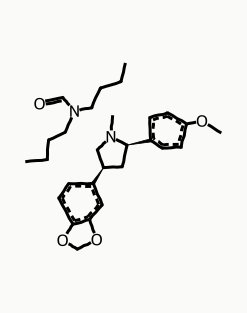 CCCCN(C=O)CCCC.COc1ccc([C@H]2C[C@@H](c3ccc4c(c3)OCO4)CN2C)cc1